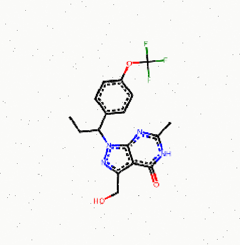 CCC(c1ccc(OC(F)(F)F)cc1)n1nc(CO)c2c(=O)[nH]c(C)nc21